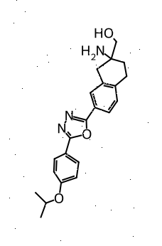 CC(C)Oc1ccc(-c2nnc(-c3ccc4c(c3)CC(N)(CO)CC4)o2)cc1